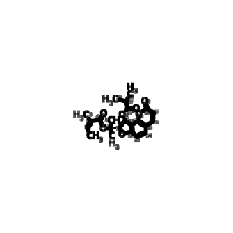 C/C=C(/C)C(=O)OC(C)(C)[C@H]1Oc2ccc3ccc(=O)oc3c2[C@H]1OC(=O)C(C)C